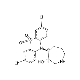 O=S1(=O)c2cc(Cl)ccc2N([C@H]2CCCNC[C@@H]2O)c2ccc(Cl)cc21